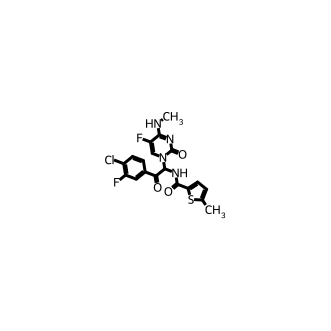 CNc1nc(=O)n(C(NC(=O)c2ccc(C)s2)C(=O)c2ccc(Cl)c(F)c2)cc1F